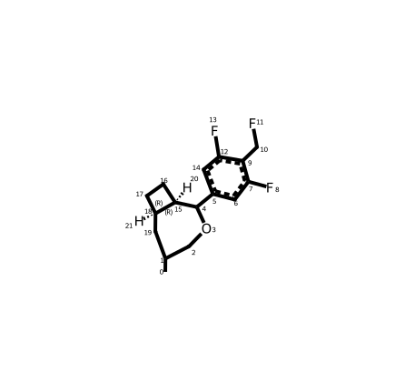 CC1COC(c2cc(F)c(CF)c(F)c2)[C@@H]2CC[C@@H]2C1